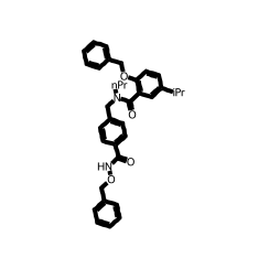 CCCN(Cc1ccc(C(=O)NOCc2ccccc2)cc1)C(=O)c1cc(C(C)C)ccc1OCc1ccccc1